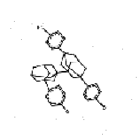 Brc1ccc(C23CC4CC(C2)CC(C25CC6CC(c7ccc(Br)cc7)(CC(c7ccc(Br)cc7)(C6)C2)C5)(C4)C3)cc1